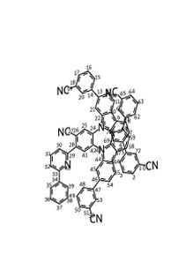 N#Cc1cccc(-c2ccc3c4ccc(-c5cccc(C#N)c5)cc4n(-c4cc(C#N)c(-c5cccc(-c6ccccc6)n5)cc4-n4c5cc(-c6cccc(C#N)c6)ccc5c5ccc(-c6cccc(C#N)c6)cc54)c3c2)c1